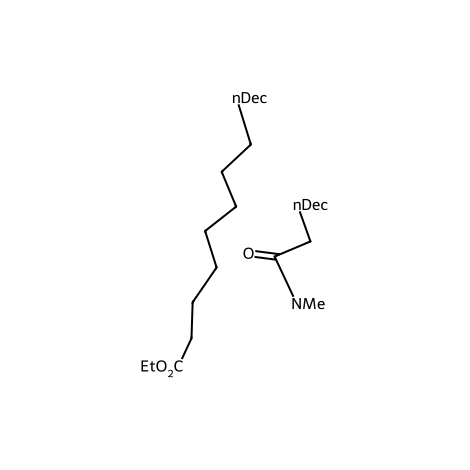 CCCCCCCCCCCC(=O)NC.CCCCCCCCCCCCCCCCCC(=O)OCC